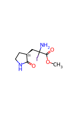 COC(=O)C(N)(I)C[C@@H]1CCNC1=O